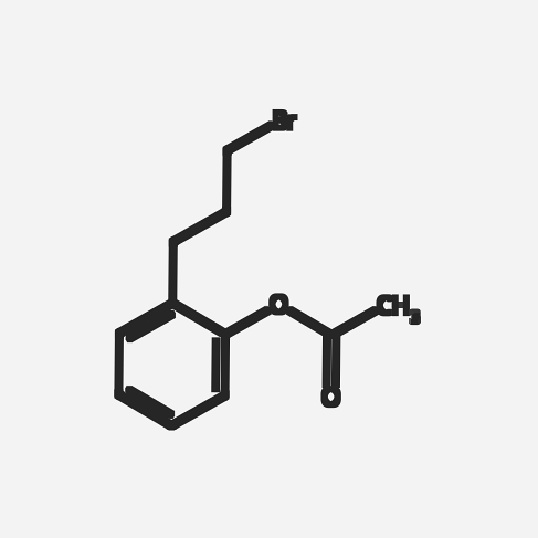 CC(=O)Oc1ccccc1CCCBr